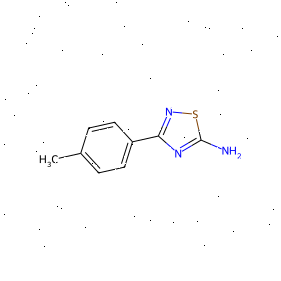 Cc1ccc(-c2nsc(N)n2)cc1